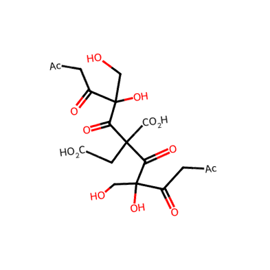 CC(=O)CC(=O)C(O)(CO)C(=O)C(CC(=O)O)(C(=O)O)C(=O)C(O)(CO)C(=O)CC(C)=O